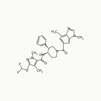 Cc1c(OC(F)F)nn(C)c1C(=O)N[C@@H]1CCN(C(=O)c2cc(C)c3ncn(C)c3c2)C[C@@H]1c1ccccc1